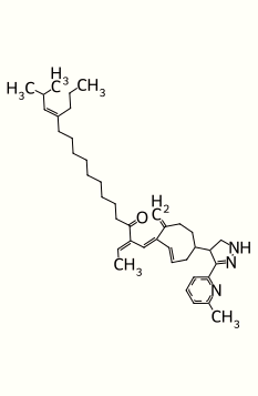 C=C1CCC(C2CNN=C2c2cccc(C)n2)C/C=C/C1=C/C(=C\C)C(=O)CCCCCCCCC/C(=C/C(C)C)CCC